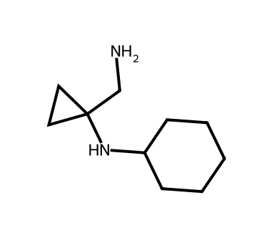 NCC1(NC2CCCCC2)CC1